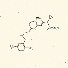 C[C@H](C(=O)O)C(c1ccc2c(c1)OC(CCN(C)Cc1cc(C(F)(F)F)ccc1C(F)(F)F)CC2)C1CC1